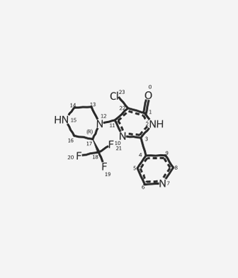 O=c1[nH]c(-c2ccncc2)nc(N2CCNC[C@@H]2C(F)(F)F)c1Cl